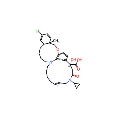 CC12C=CC(Cl)=CC1CCCCN1CCCC/C=C/CN(C3CC3)C(=O)C[C@](O)(C(=O)O)c3ccc(c1c3)OC2